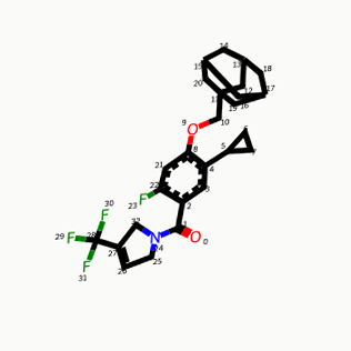 O=C(c1cc(C2CC2)c(OCC23CC4CC(CC(C4)C2)C3)cc1F)N1CC=C(C(F)(F)F)C1